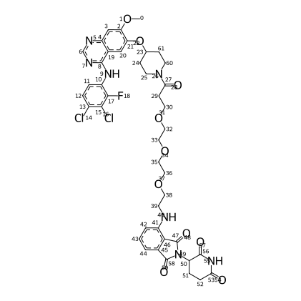 COc1cc2ncnc(Nc3ccc(Cl)c(Cl)c3F)c2cc1OC1CCN(C(=O)CCOCCOCCOCCNc2cccc3c2C(=O)N(C2CCC(=O)NC2=O)C3=O)CC1